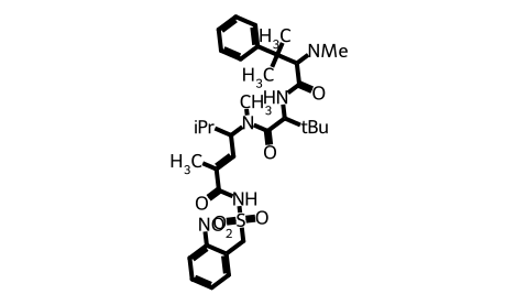 CNC(C(=O)NC(C(=O)N(C)C(C=C(C)C(=O)NS(=O)(=O)Cc1ccccc1[N+](=O)[O-])C(C)C)C(C)(C)C)C(C)(C)c1ccccc1